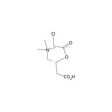 C[N+](C)(C)C[C@@H](CC(=O)O)OC(=O)CCl